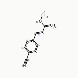 C=C(/C=C/c1ccc(C#N)cc1)OC